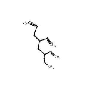 C=CCC(C=C)CC(C=C)CC